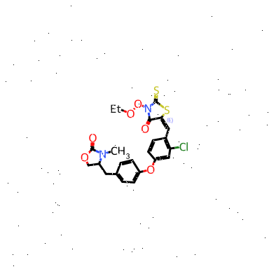 CCOON1C(=O)/C(=C\c2ccc(Oc3ccc(CC4COC(=O)N4C)cc3)cc2Cl)SC1=S